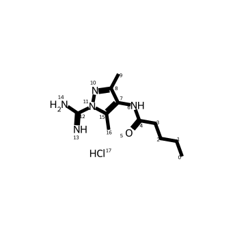 CCCCC(=O)Nc1c(C)nn(C(=N)N)c1C.Cl